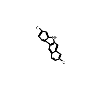 Clc1ccc2cc3c(cc2c1)[nH]c1cc(Cl)ccc13